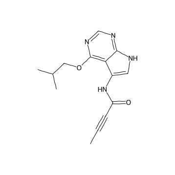 CC#CC(=O)Nc1c[nH]c2ncnc(OCC(C)C)c12